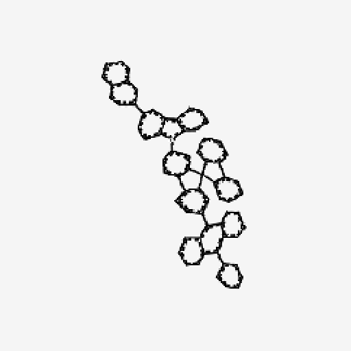 c1ccc(-c2c3ccccc3c(-c3ccc4c(c3)C3(c5ccccc5-c5ccccc53)c3cc(-n5c6ccccc6c6cc(-c7ccc8ccccc8c7)ccc65)ccc3-4)c3ccccc23)cc1